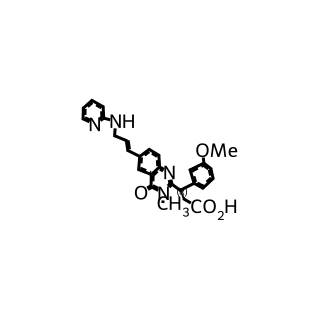 COc1cccc([C@@H](CC(=O)O)c2nc3ccc(C=CCNc4ccccn4)cc3c(=O)n2C)c1